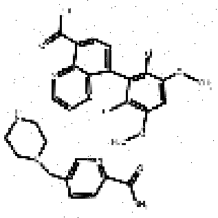 COc1cc(OC)c(Cl)c(-c2ccc(C(=O)O)c3nccnc23)c1Cl.NC(=O)c1ccc(CN2CCNCC2)cn1